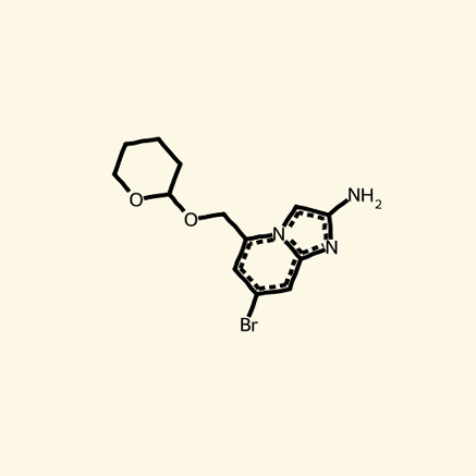 Nc1cn2c(COC3CCCCO3)cc(Br)cc2n1